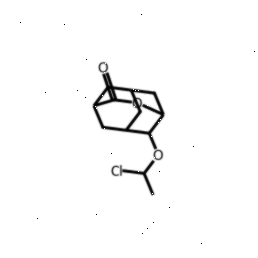 CC(Cl)OC1C2CC3CC(C2)C(=O)OC1C3